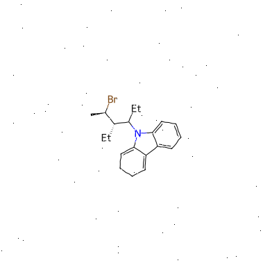 CCC([C@H](CC)[C@@H](C)Br)n1c2c(c3ccccc31)=CCCC=2